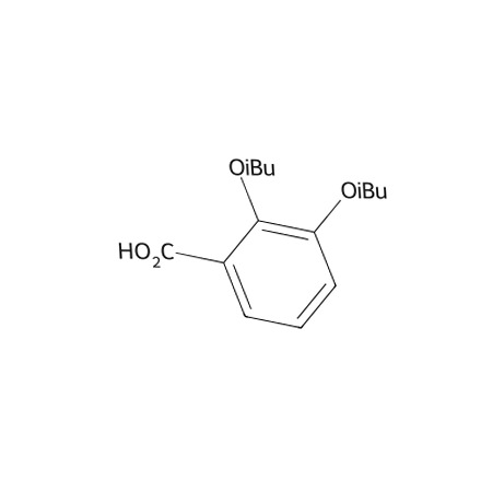 CC(C)COc1cccc(C(=O)O)c1OCC(C)C